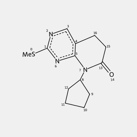 CSc1ncc2c(n1)N(C1CCCC1)C(=O)CC2